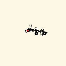 COc1ccc(NCCNC(=O)C(CCCNC(=O)c2cccc(C)c2)c2ccccc2)cc1